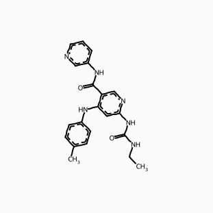 CCNC(=O)Nc1cc(Nc2ccc(C)cc2)c(C(=O)Nc2cccnc2)cn1